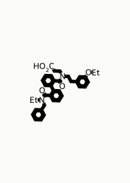 CCOc1cccc(CCN(CCC(=O)O)C(=O)c2ccccc2-c2ccccc2C(=O)N(CC)Cc2ccccc2)c1